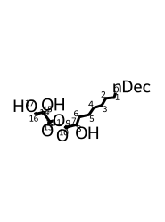 CCCCCCCCCCCCCCCCC(O)C(=O)OC(=O)C(O)CO